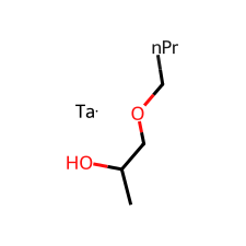 CCCCOCC(C)O.[Ta]